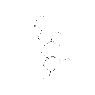 COC(=O)CC[C@H](Nc1nc(Cl)nc(C)c1[N+](=O)[O-])C(=O)OC